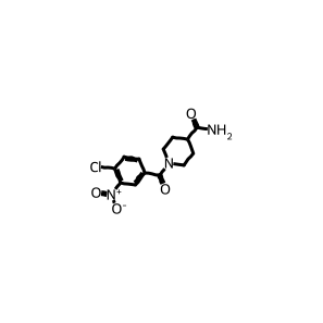 NC(=O)C1CCN(C(=O)c2ccc(Cl)c([N+](=O)[O-])c2)CC1